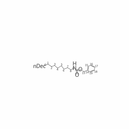 CCCCCCCCCCCCCCCCCCNC(=O)OCc1ccccc1